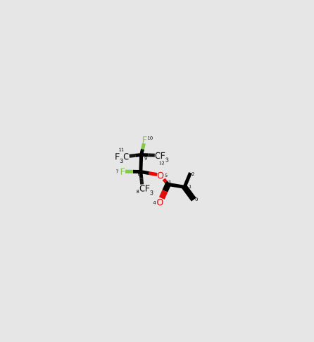 C=C(C)C(=O)OC(F)(C(F)(F)F)C(F)(C(F)(F)F)C(F)(F)F